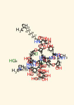 CN[C@H]1C(=O)N[C@@H]2Cc3ccc(cc3)Oc3cc4cc(c3O[C@@H]3O[C@H](C(=O)O)[C@@H](O)[C@H](O)[C@H]3NC(=O)CCCCCCCCC(C)C)Oc3ccc(cc3Cl)[C@@H](O)[C@@H]3NC(=O)[C@H](NC(=O)[C@@H]4NC(=O)[C@@H](NC2=O)c2cc(cc(O)c2Cl)Oc2cc1ccc2O)c1ccc(O)c(c1)-c1c(O[C@H]2O[C@H](CO)[C@@H](O)[C@H](O)[C@@H]2O)cc(O)cc1[C@@H](C(=O)NCCCN(C)C)NC3=O.Cl